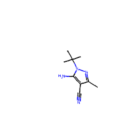 Cc1nn(C(C)(C)C)c(N)c1C#N